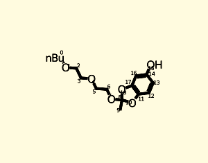 CCCCOCCOCCOC1(C)Oc2ccc(O)cc2O1